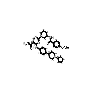 COc1ccc(C(=O)N[C@@H]2CCCN(c3nnc(C(N)=O)c(Nc4ccc(C5CCN(C6CCCC6)CC5)cc4)n3)C2)cc1